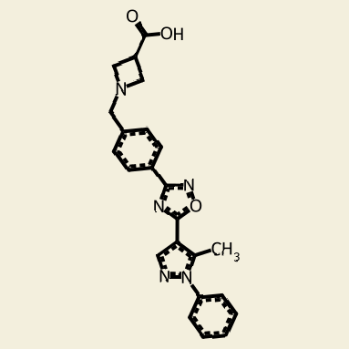 Cc1c(-c2nc(-c3ccc(CN4CC(C(=O)O)C4)cc3)no2)cnn1-c1ccccc1